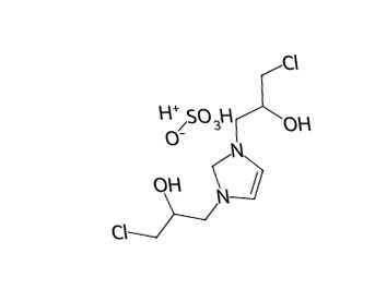 O=S(=O)([O-])O.OC(CCl)CN1C=CN(CC(O)CCl)C1.[H+]